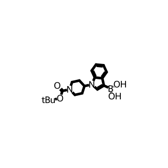 CC(C)(C)OC(=O)N1CCC(n2cc(B(O)O)c3ccccc32)CC1